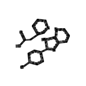 Clc1ccc(-c2nc3cccnc3[nH]2)cc1.O=C(O)Cc1cccnc1